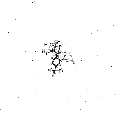 CC(C)c1cc(C(F)(F)F)ccc1C1=[N+](C)C(C)(C)CO1